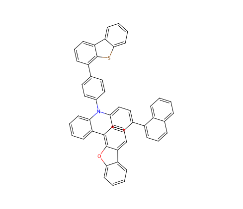 c1ccc(N(c2ccc(-c3cccc4ccccc34)cc2)c2ccc(-c3cccc4c3sc3ccccc34)cc2)c(-c2cccc3c2oc2ccccc23)c1